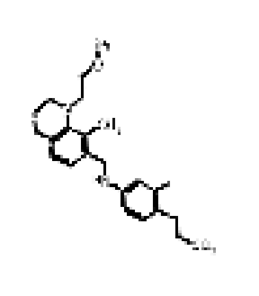 Cc1c(CNc2ccc(CCC(=O)O)c(F)c2)ccc2c1N(CCOC(C)C)CCC2